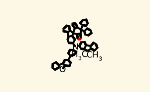 CC1(C)c2ccccc2-c2ccc(N(c3ccc(-c4ccc5oc6ccccc6c5c4)cc3)c3ccc4c(c3)C3(c5ccccc5-4)c4ccccc4C(c4ccccc4)(c4ccccc4)c4ccccc43)cc21